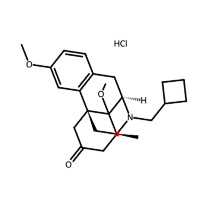 COc1ccc2c(c1)[C@]13CCN(CC4CCC4)[C@H](C2)C1(OC)[C@@H](C)CC(=O)C3.Cl